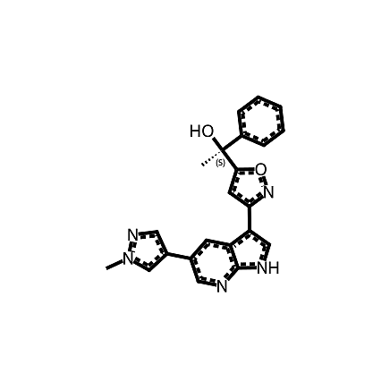 Cn1cc(-c2cnc3[nH]cc(-c4cc([C@@](C)(O)c5ccccc5)on4)c3c2)cn1